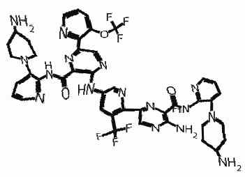 Nc1ncc(-c2ncc(Nc3ncc(-c4ncccc4OC(F)(F)F)nc3C(=O)Nc3ncccc3N3CCC(N)CC3)cc2C(F)(F)F)nc1C(=O)Nc1ncccc1N1CCC(N)CC1